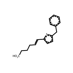 O=C(O)CCC/C=C/c1ccc(Cc2ccccc2)s1